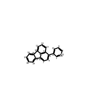 c1cncc(-c2ccc3c4c(cccc24)-c2ccccc2-3)c1